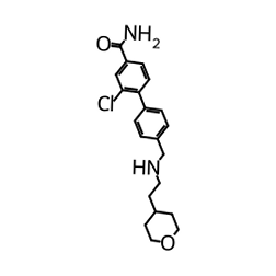 NC(=O)c1ccc(-c2ccc(CNCCC3CCOCC3)cc2)c(Cl)c1